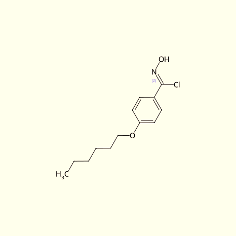 CCCCCCOc1ccc(/C(Cl)=N/O)cc1